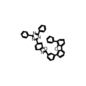 c1ccc(-c2nc(-c3ccccc3)nc(-c3ccc4nc(-c5cccc(-c6cccc7c6oc6c(-c8ccccc8)cccc67)c5)oc4c3)n2)cc1